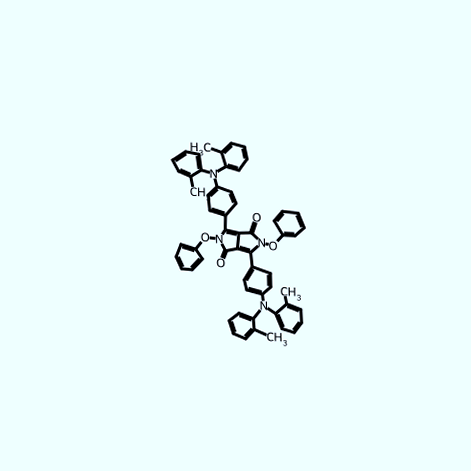 Cc1ccccc1N(c1ccc(C2=C3C(=O)N(Oc4ccccc4)C(c4ccc(N(c5ccccc5C)c5ccccc5C)cc4)=C3C(=O)N2Oc2ccccc2)cc1)c1ccccc1C